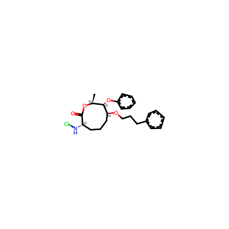 C[C@@H]1OC(=O)[C@@H](NCl)CCC[C@H](OCCCc2ccccc2)[C@H]1Oc1ccccc1